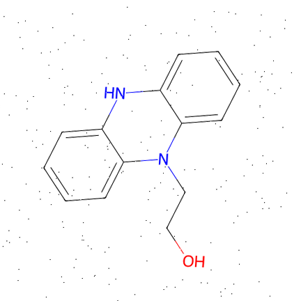 OCCN1c2ccccc2Nc2ccccc21